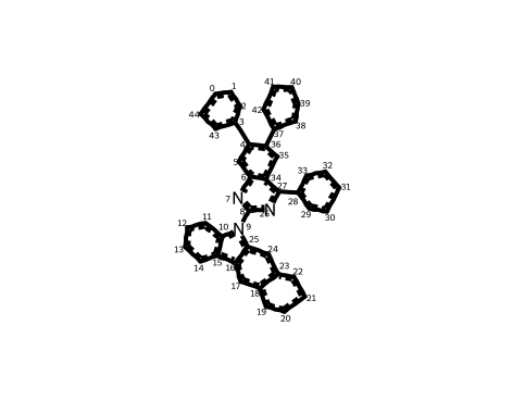 c1ccc(-c2cc3nc(-n4c5ccccc5c5cc6ccccc6cc54)nc(-c4ccccc4)c3cc2-c2ccccc2)cc1